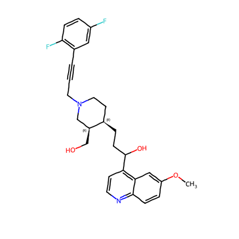 COc1ccc2nccc(C(O)CC[C@@H]3CCN(CC#Cc4cc(F)ccc4F)C[C@@H]3CO)c2c1